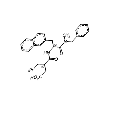 CC(C)C[C@@H](CC(=O)O)C(=O)N[C@@H](Cc1ccc2ccccc2c1)C(=O)N(C)Cc1ccccc1